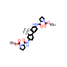 CC(C)(C)OC(=O)N1CCC[C@H]1C(=O)Nc1ccc(-c2ccc(NC(=O)[C@@H]3CCCN3C(=O)OC(C)(C)C)cc2C(F)(F)F)c(C(F)(F)F)c1